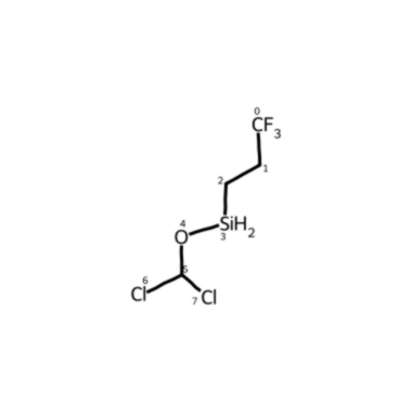 FC(F)(F)CC[SiH2]OC(Cl)Cl